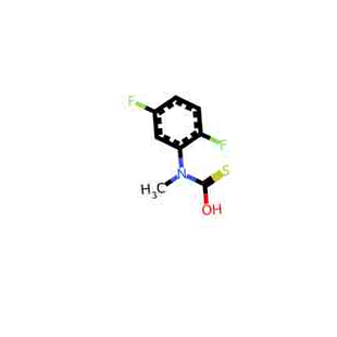 CN(C(O)=S)c1cc(F)ccc1F